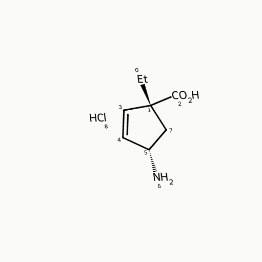 CC[C@]1(C(=O)O)C=C[C@@H](N)C1.Cl